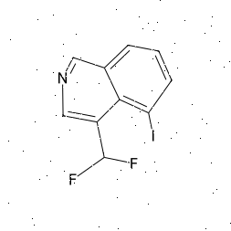 FC(F)c1cncc2cccc(I)c12